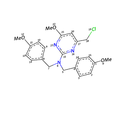 COc1ccc(CN(Cc2ccc(OC)cc2)c2nc(CCl)cc(OC)n2)cc1